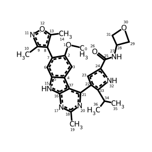 COc1cc2c(cc1-c1c(C)noc1C)[nH]c1nc(C)nc(-c3cc(C(=O)NC4COC4)[nH]c3C(C)C)c12